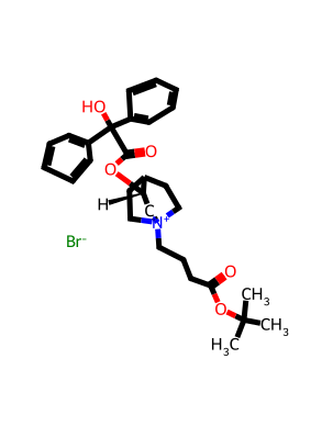 CC(C)(C)OC(=O)CCC[N+]12CCC(CC1)[C@@H](OC(=O)C(O)(c1ccccc1)c1ccccc1)C2.[Br-]